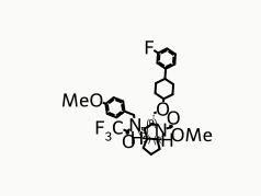 COC(=O)N1[C@@H]2CCC[C@@H]2[C@H](N(Cc2ccc(OC)cc2)C(=O)C(F)(F)F)[C@@H]1COC1CCC(c2cccc(F)c2)CC1